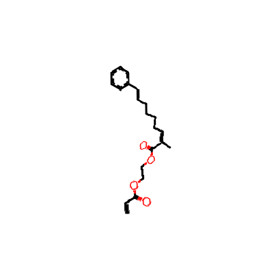 C=CC(=O)OCCOC(=O)C(C)=CCCCCC=Cc1ccccc1